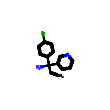 C=CC(N)(c1ccc(Br)cc1)c1cccnc1